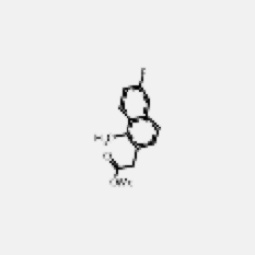 COC(=O)Cc1ccc2cc(F)ccc2c1C